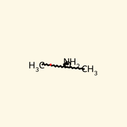 CCCCCCCCCCCCCC(CCCCCCCCCCCC)CC(N)=O